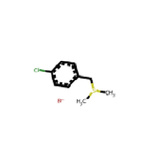 C[S+](C)Cc1ccc(Cl)cc1.[Br-]